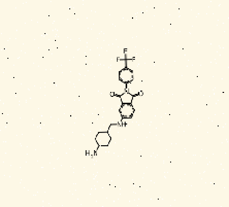 NC1CCC(CNc2ccc3c(c2)C(=O)N(c2ccc(C(F)(F)F)cc2)C3=O)CC1